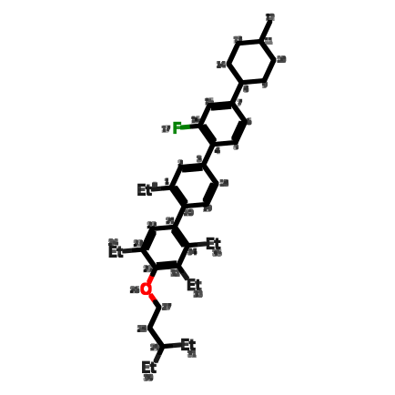 CCc1cc(-c2ccc(C3CCC(C)CC3)cc2F)ccc1-c1cc(CC)c(OCCC(CC)CC)c(CC)c1CC